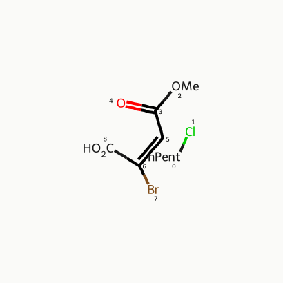 CCCCCCl.COC(=O)/C=C(/Br)C(=O)O